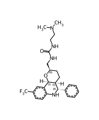 CN(C)CCNC(=O)NC[C@H]1CC[C@@H]2[C@H](O1)c1cc(C(F)(F)F)ccc1N[C@H]2c1ccccc1